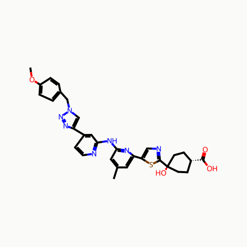 COc1ccc(Cn2cc(-c3ccnc(Nc4cc(C)cc(-c5cnc([C@]6(O)CC[C@H](C(=O)O)CC6)s5)n4)c3)nn2)cc1